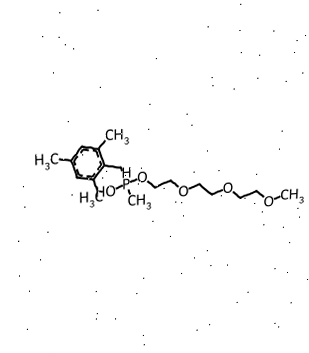 COCCOCCOCCO[PH](C)(O)Cc1c(C)cc(C)cc1C